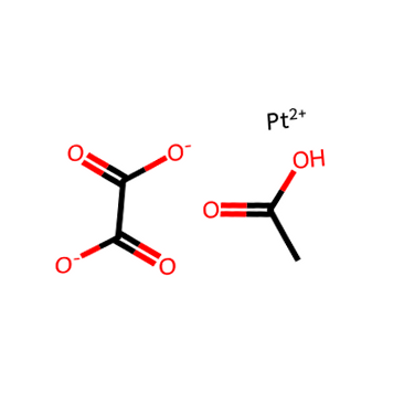 CC(=O)O.O=C([O-])C(=O)[O-].[Pt+2]